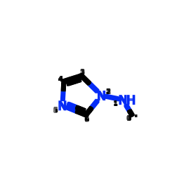 [CH2]Nn1ccnc1